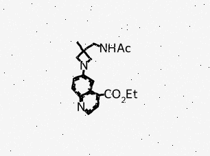 CCOC(=O)c1ccnc2ccc(N3CC(C)(CNC(C)=O)C3)cc12